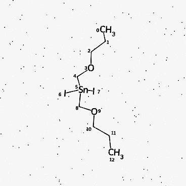 CCCO[CH2][Sn]([I])([I])[CH2]OCCC